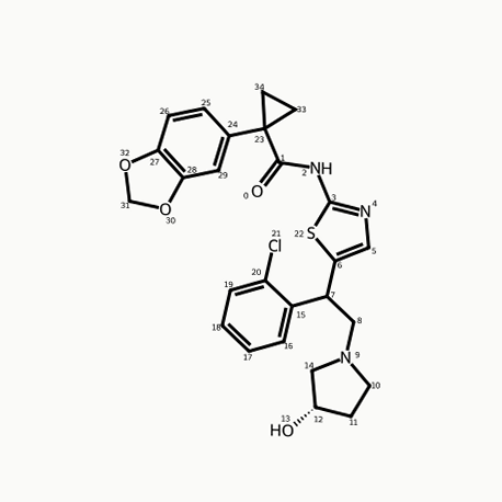 O=C(Nc1ncc(C(CN2CC[C@H](O)C2)c2ccccc2Cl)s1)C1(c2ccc3c(c2)OCO3)CC1